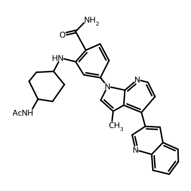 CC(=O)NC1CCC(Nc2cc(-n3cc(C)c4c(-c5cnc6ccccc6c5)ccnc43)ccc2C(N)=O)CC1